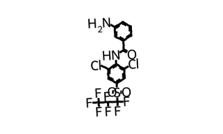 Nc1cccc(C(=O)Nc2c(Cl)cc(S(=O)(=O)C(F)(F)C(F)(F)C(F)(F)F)cc2Cl)c1